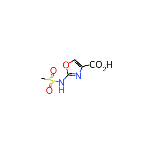 CS(=O)(=O)Nc1nc(C(=O)O)co1